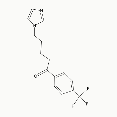 O=C(CCCCn1ccnc1)c1ccc(C(F)(F)F)cc1